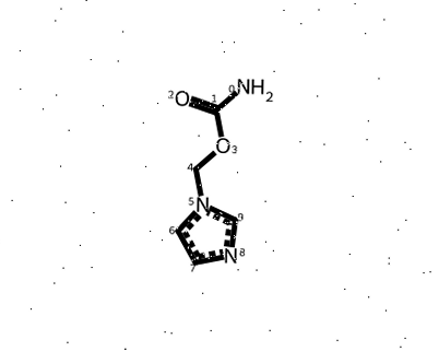 NC(=O)OCn1ccnc1